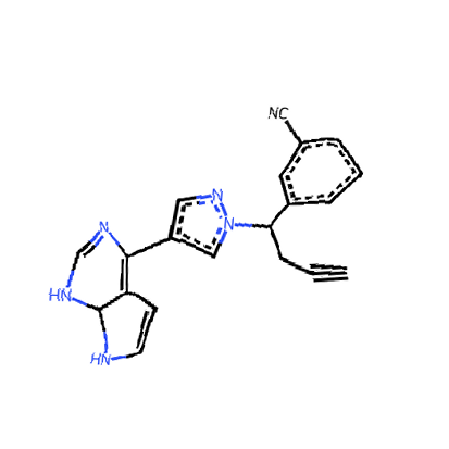 C#CCC(c1cccc(C#N)c1)n1cc(C2=C3C=CNC3NC=N2)cn1